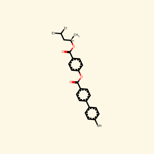 CCCc1ccc(-c2ccc(C(=O)Oc3ccc(C(=O)O[C@H](C)CC(CC)CC)cc3)cc2)cc1